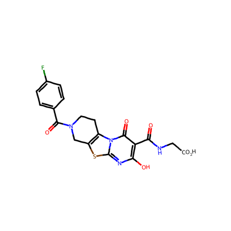 O=C(O)CNC(=O)c1c(O)nc2sc3c(n2c1=O)CCN(C(=O)c1ccc(F)cc1)C3